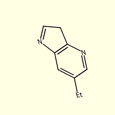 CCc1cnc2c(c1)N=CC2